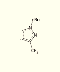 CCCCn1c[c]c(C(F)(F)F)n1